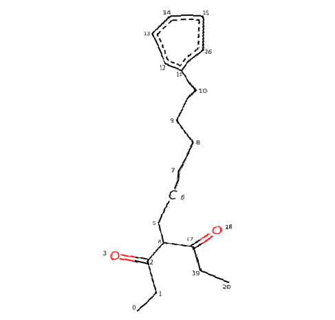 CCC(=O)C(CCCCCCc1ccccc1)C(=O)CC